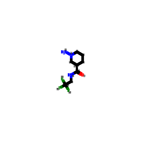 NN1CCC[C@@H](C(=O)NCC(F)(F)F)C1